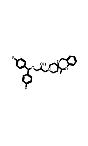 CC1Oc2ccccc2COC12CCN(CC(O)COC(c1ccc(F)cc1)c1ccc(F)cc1)CC2